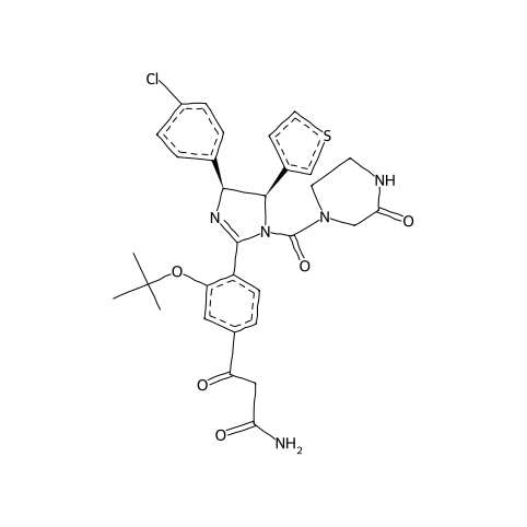 CC(C)(C)Oc1cc(C(=O)CC(N)=O)ccc1C1=N[C@@H](c2ccc(Cl)cc2)[C@@H](c2ccsc2)N1C(=O)N1CCNC(=O)C1